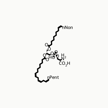 CCCCC/C=C\C/C=C\C/C=C\CCCCCCC(=O)O[C@H](COC(=O)CCCCCCC/C=C\CCCCCCCCC)COP(=O)(O)OC[C@H](N)C(=O)O